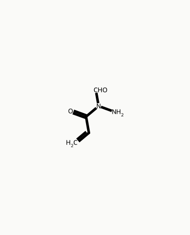 C=CC(=O)N(N)C=O